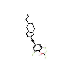 C/C=C/C1CCc2cc(C#Cc3cc(F)c(OC(F)F)c(F)c3)ccc2C1